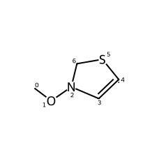 CON1C=[C]SC1